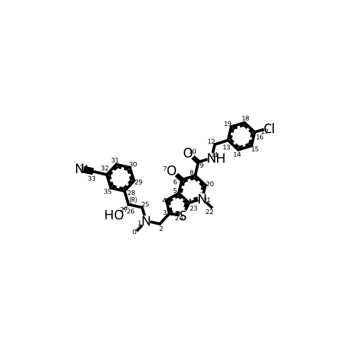 CN(Cc1cc2c(=O)c(C(=O)NCc3ccc(Cl)cc3)cn(C)c2s1)C[C@H](O)c1cccc(C#N)c1